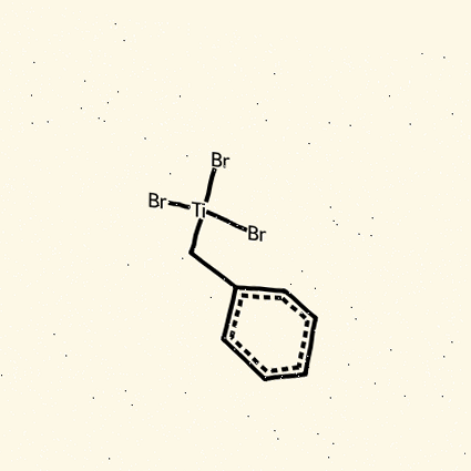 [Br][Ti]([Br])([Br])[CH2]c1ccccc1